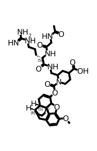 COc1ccc2c3c1OC1C(OC(=O)N4CCC(C(=O)O)CC4CNC(=O)[C@H](CCCNC(=N)N)NC(=O)CNC(C)=O)=CC[C@H]4[C@H](CCC[C@]314)C2